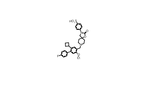 CCOc1cc(-c2ccc(F)cc2)c(C2CCC2)cc1CN1CCC2(CC1)CN(c1ccc(S(=O)(=O)O)cc1)C(=O)O2